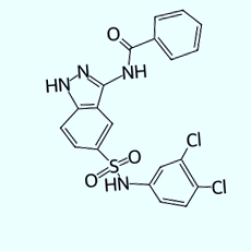 O=C(Nc1n[nH]c2ccc(S(=O)(=O)Nc3ccc(Cl)c(Cl)c3)cc12)c1ccccc1